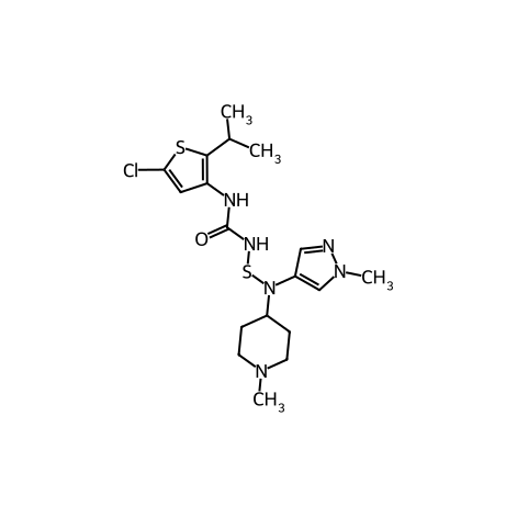 CC(C)c1sc(Cl)cc1NC(=O)NSN(c1cnn(C)c1)C1CCN(C)CC1